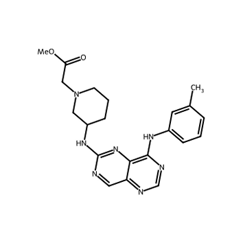 COC(=O)CN1CCCC(Nc2ncc3ncnc(Nc4cccc(C)c4)c3n2)C1